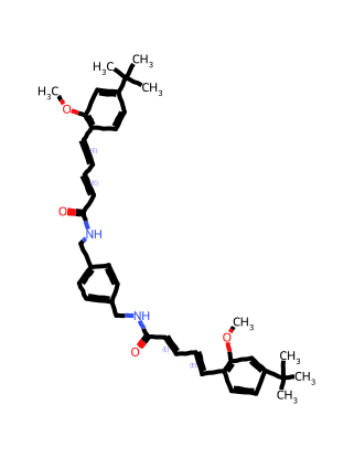 COc1cc(C(C)(C)C)ccc1/C=C/C=C/C(=O)NCc1ccc(CNC(=O)/C=C/C=C/c2ccc(C(C)(C)C)cc2OC)cc1